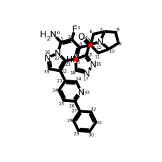 Nc1c(F)c(C2CC3CCC(C2)N3C(=O)c2nnc[nH]2)nc2c(-c3ccc(-c4ccccc4)nc3)cnn12